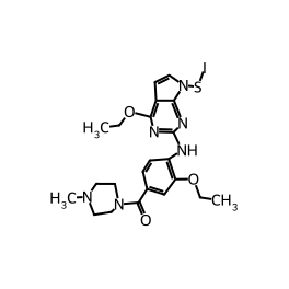 CCOc1cc(C(=O)N2CCN(C)CC2)ccc1Nc1nc(OCC)c2ccn(SI)c2n1